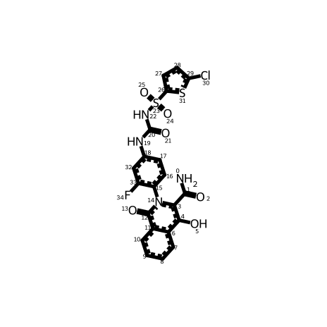 NC(=O)c1c(O)c2ccccc2c(=O)n1-c1ccc(NC(=O)NS(=O)(=O)c2ccc(Cl)s2)cc1F